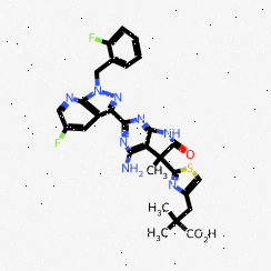 CC(C)(Cc1csc(C2(C)C(=O)Nc3nc(-c4nn(Cc5ccccc5F)c5ncc(F)cc45)nc(N)c32)n1)C(=O)O